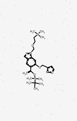 C=C(O[Si](C)(C)C(C)(C)C)c1cc2cnn(COCC[Si](C)(C)C)c2cc1OCc1ccon1